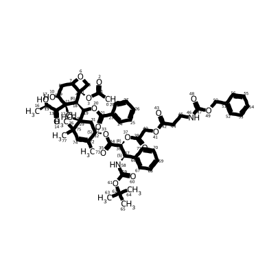 CC(=O)O[C@@]12COC1C[C@H](O)[C@@](C)(C(=O)[C@@H](C)O)[C@@H]2C(OC(=O)c1ccccc1)[C@]1(O)C[C@H](OC(=O)[C@H](OC(=O)COC(=O)CCNC(=O)OCc2ccccc2)[C@@H](NC(=O)OC(C)(C)C)c2ccccc2)C(C)=CC1(C)C